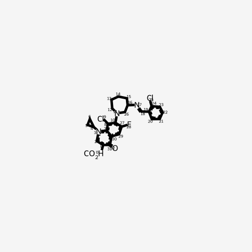 O=C(O)c1cn(C2CC2)c2c(Cl)c(N3CCCCC(N=Cc4ccccc4Cl)C3)c(F)cc2c1=O